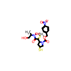 CSC(C(=O)N(O)C(C)CO)C1CC(S)CN1C(=O)OCc1ccc([N+](=O)[O-])cc1